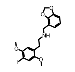 COc1cc(CCNCc2cccc3c2OCO3)c(OC)cc1I